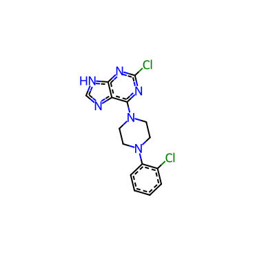 Clc1nc(N2CCN(c3ccccc3Cl)CC2)c2nc[nH]c2n1